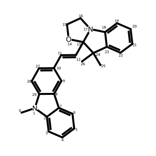 Cn1c2ccccc2c2cc(C=CC34OCCN3c3ccccc3C4(C)C)ccc21